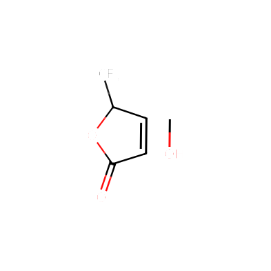 CO.O=C1C=CC(C(F)(F)F)O1